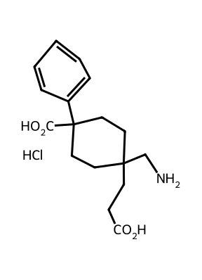 Cl.NCC1(CCC(=O)O)CCC(C(=O)O)(c2ccccc2)CC1